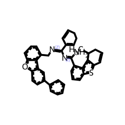 CC1CC=Cc2sc3cccc(/C(N)=N/C(=N\Cc4cccc5oc6ccc(-c7ccccc7)cc6c45)C4=CCCC=C4)c3c21